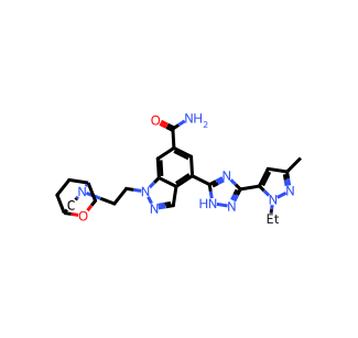 CCn1nc(C)cc1-c1n[nH]c(-c2cc(C(N)=O)cc3c2cnn3CCN2CC3CCC2CO3)n1